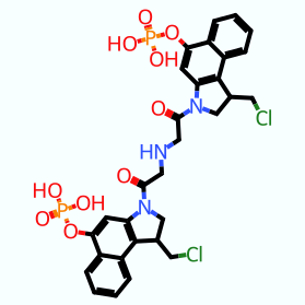 O=C(CNCC(=O)N1CC(CCl)c2c1cc(OP(=O)(O)O)c1ccccc21)N1CC(CCl)c2c1cc(OP(=O)(O)O)c1ccccc21